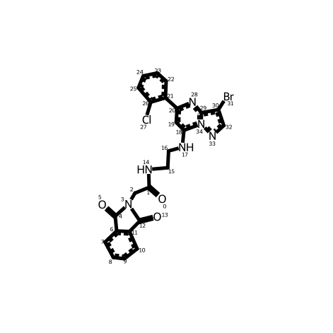 O=C(CN1C(=O)c2ccccc2C1=O)NCCNc1cc(-c2ccccc2Cl)nc2c(Br)cnn12